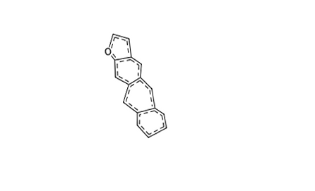 c1ccc2cc3cc4occc4cc3cc2c1